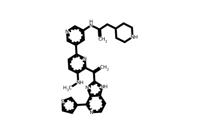 C=C(CC1CCNCC1)Nc1cncc(-c2ccc(NC)c(C(=C)c3nc4c(-c5ccsc5)nccc4[nH]3)n2)c1